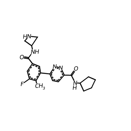 Cc1c(F)cc(C(=O)NC2CNC2)cc1-c1ccc(C(=O)NC2CCCC2)nn1